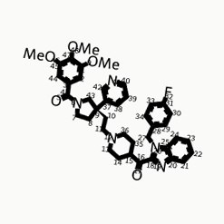 COc1cc(C(=O)N2CC[C@@](CCN3CCC(C(=O)c4nc5ccccc5n4Cc4ccc(F)cc4)CC3)(c3cccnc3)C2)cc(OC)c1OC